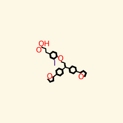 O=C(O)CCc1ccc(OCC=C(c2ccc(-c3ccco3)cc2)c2ccc(-c3ccco3)cc2)c(I)c1